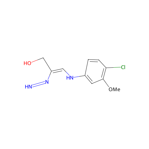 COc1cc(N/C=C(/CO)N=N)ccc1Cl